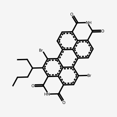 CCCC(CC)c1c2c3c(cc(Br)c4c5ccc6c7c(ccc(c(c1Br)c34)c75)C(=O)NC6=O)C(=O)NC2=O